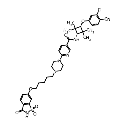 CC1(C)[C@H](NC(=O)c2ccc(N3CCN(CCCCCOc4ccc5c(c4)S(=O)(=O)NC5=O)CC3)nc2)C(C)(C)[C@H]1Oc1ccc(C#N)c(Cl)c1